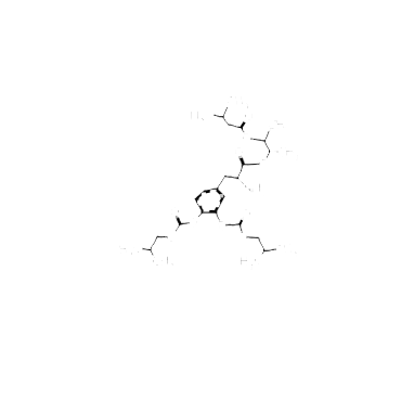 CC(C)COC(=O)Oc1ccc(C[C@H](N)C(=O)O[C@@H](C)C(C)OC(=O)CC(C)C)cc1OC(=O)OCC(C)C